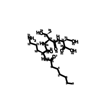 CCCCCCC(=O)N[C@@H](CCCN)C(=O)N[C@H](C(=O)N[C@H](CO)C(=O)O)[C@@H](C)O